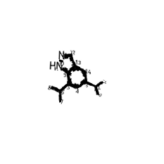 CC(C)c1cc(C(C)C)c2[nH]ncc2c1